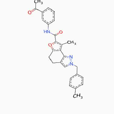 CC(=O)c1cccc(NC(=O)c2oc3c(c2C)-c2nn(Cc4ccc(C)cc4)cc2CC3)c1